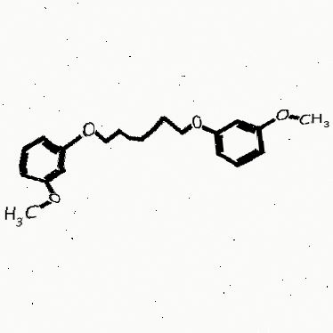 COc1cccc(OCCCCCOc2cccc(OC)c2)c1